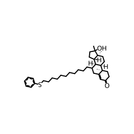 CC1(O)CC[C@H]2[C@@H]3C(CCCCCCCCCCCSc4ccccc4)CC4=CC(=O)CC[C@]4(C)[C@@H]3CC[C@@]21C